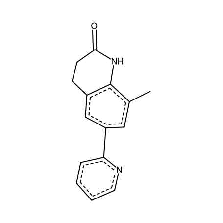 Cc1cc(-c2ccccn2)cc2c1NC(=O)CC2